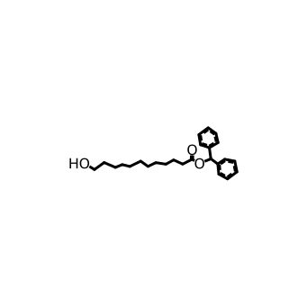 O=C(CCCCCCCCCCCO)OC(c1ccccc1)c1ccccc1